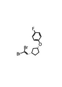 Fc1ccc(O[C@@H]2CC[C@H](C=C(Br)Br)C2)cc1